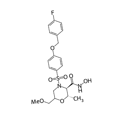 COCC1CN(S(=O)(=O)c2ccc(OCc3ccc(F)cc3)cc2)[C@@H](C(=O)NO)[C@H](C)O1